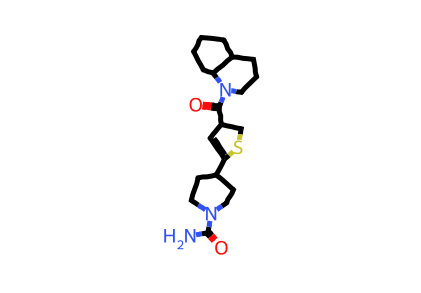 NC(=O)N1CCC(C2=CC(C(=O)N3CCCC4CCCCC43)CS2)CC1